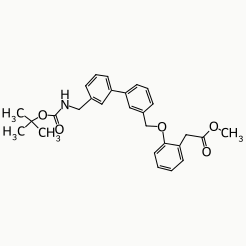 COC(=O)Cc1ccccc1OCc1cccc(-c2cccc(CNC(=O)OC(C)(C)C)c2)c1